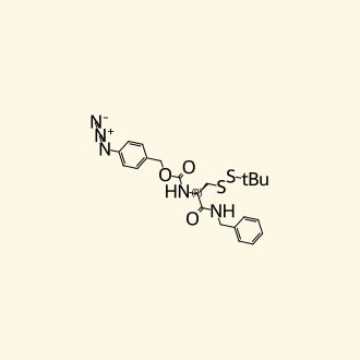 CC(C)(C)SSC[C@H](NC(=O)OCc1ccc(N=[N+]=[N-])cc1)C(=O)NCc1ccccc1